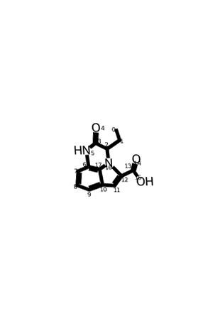 CCC1C(=O)Nc2cccc3cc(C(=O)O)n1c23